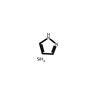 [SiH4].c1cn[nH]c1